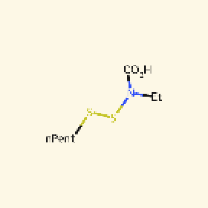 CCCCCSSN(CC)C(=O)O